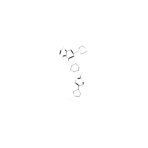 CN1CCC(c2cnc(N[C@H]3CC[C@@H](Oc4cc(N5CCOCC5)cc5nccnc45)CC3)nc2)C1